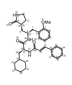 COc1ccccc1C[C@H](C[C@@H]1CCNC1=O)NC(=O)[C@H](CC1CCCCC1)NC(=O)C=Cc1ccccc1